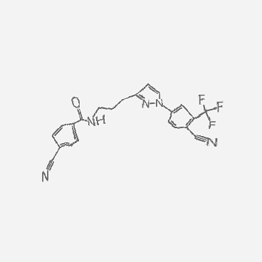 N#Cc1ccc(C(=O)NCCCc2ccn(-c3ccc(C#N)c(C(F)(F)F)c3)n2)cc1